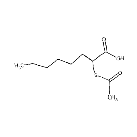 CCCCCCC(SC(C)=O)C(=O)O